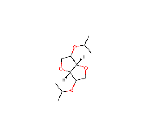 CC(C)OC1CO[C@H]2C(OC(C)C)CO[C@@H]12